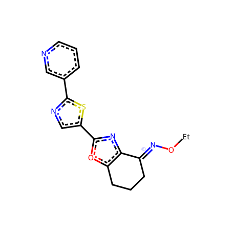 CCO/N=C1\CCCc2oc(-c3cnc(-c4cccnc4)s3)nc21